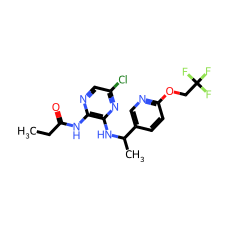 CCC(=O)Nc1ncc(Cl)nc1NC(C)c1ccc(OCC(F)(F)F)nc1